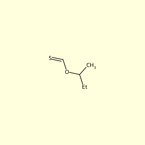 CCC(C)OC=S